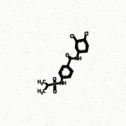 CC(C)S(=O)(=O)Nc1ccc(C(=O)Nc2ccc(Cl)c(Cl)c2)cc1